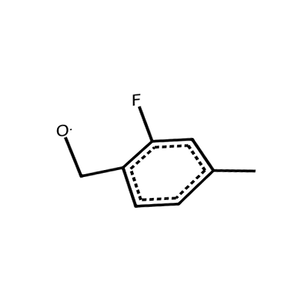 Cc1ccc(C[O])c(F)c1